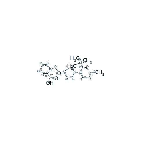 Cc1ccc(-c2ccc(OCc3ccccc3C(=O)O)cc2)c(C(C)(C)C)c1